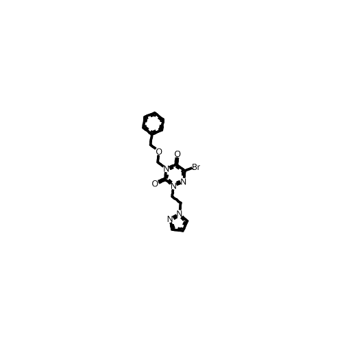 O=c1c(Br)nn(CCn2cccn2)c(=O)n1COCc1ccccc1